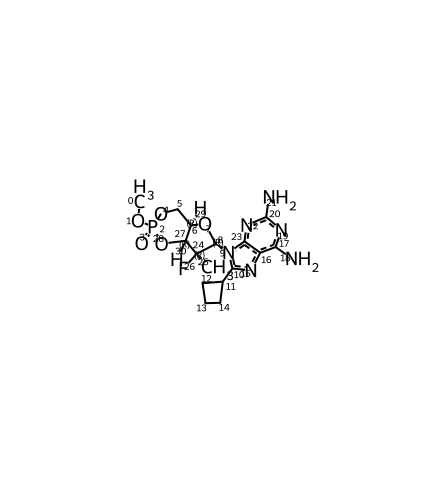 COP1(=O)OC[C@H]2O[C@@H](n3c(C4CCC4)nc4c(N)nc(N)nc43)[C@](C)(F)[C@@H]2O1